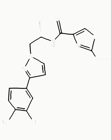 C[C@@H](Cn1ccc(-c2ccc(C#N)c(Cl)c2)n1)NC(=O)c1csc(C(=O)O)n1